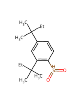 CCC(C)(C)c1ccc([SH](=O)=O)c(C(C)(C)CC)c1